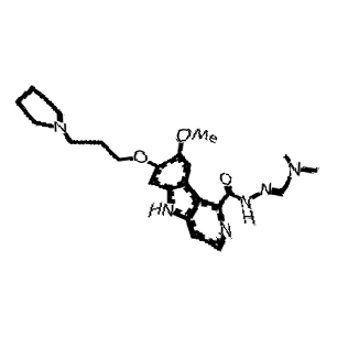 COc1cc2c(cc1OCCCN1CCCC1)[nH]c1ccnc(C(=O)NN=CN(C)C)c12